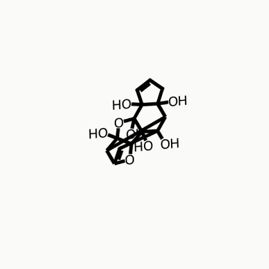 OC12OC3(O)C4(O)C=CCC4(O)C4C1C1=CC4(O)C3(O)C2O1